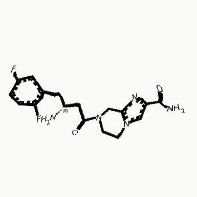 NC(=O)c1cn2c(n1)CN(C(=O)C[C@H](N)Cc1cc(F)ccc1F)CC2